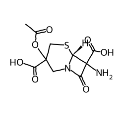 CC(=O)OC1(C(=O)O)CS[C@H]2N(C1)C(=O)C2(N)C(=O)O